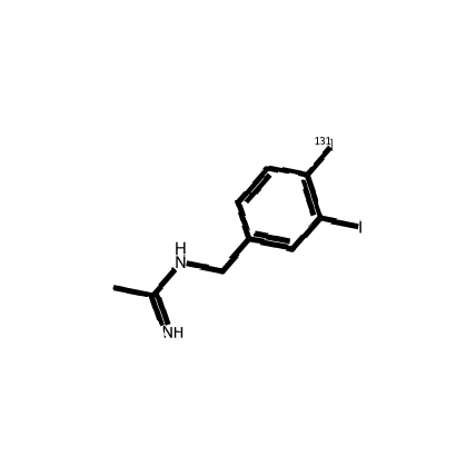 CC(=N)NCc1ccc([131I])c(I)c1